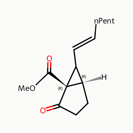 CCCCCC=CC1[C@H]2CCC(=O)[C@]12C(=O)OC